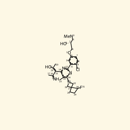 CNC[C@@H](O)COc1ccc(Cl)c(-c2nc(/C(C(C)=N)=C(\C)O)c(C)c(N3CC4(CCC4F)C3)n2)c1